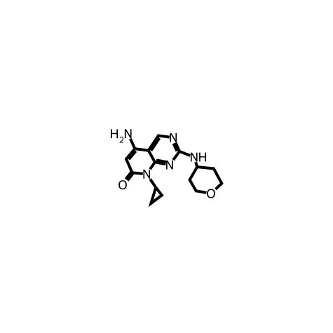 Nc1cc(=O)n(C2CC2)c2nc(NC3CCOCC3)ncc12